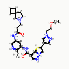 COCCn1cc(-c2cn3ncc(C(=O)Nc4cc(NC(=O)CCN5CCC6(CCC6)C5)cnc4C)c3s2)cn1